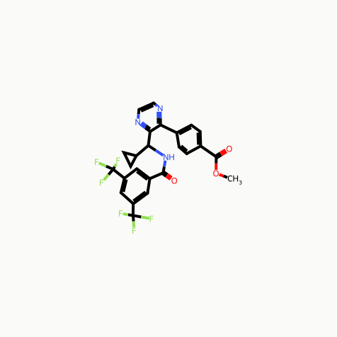 COC(=O)c1ccc(-c2nccnc2C(NC(=O)c2cc(C(F)(F)F)cc(C(F)(F)F)c2)C2CC2)cc1